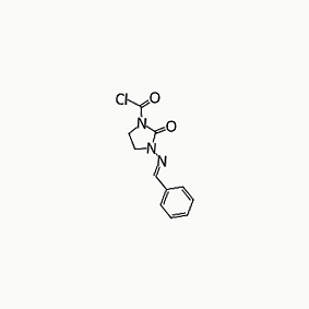 O=C(Cl)N1CCN(/N=C/c2ccccc2)C1=O